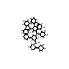 c1ccc(-c2cc(Nc3ccccc3-c3ccccc3)cc(N(c3cc(-n4c5ccccc5c5ccccc54)c4c(c3)oc3ccccc34)c3ccccc3-c3ccccc3)c2)cc1